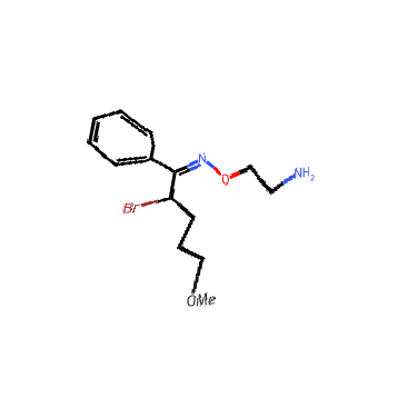 COCCCC(Br)C(=NOCCN)c1ccccc1